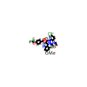 COc1cc(F)c(-c2c(NC(=O)c3ccc(OC(F)F)cc3)c(=O)n(-c3nc(Cl)ccc3N3CCOCC3)n2C)c(F)c1